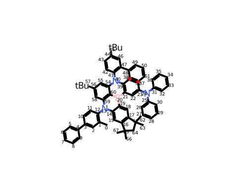 Cc1cc(-c2ccccc2)ccc1N1c2cc3c(cc2B2c4cc(N(c5ccccc5)c5ccccc5)ccc4N(c4ccc(C(C)(C)C)cc4-c4ccccc4)c4cc(C(C)(C)C)cc1c42)C(C)(C)CC3(C)C